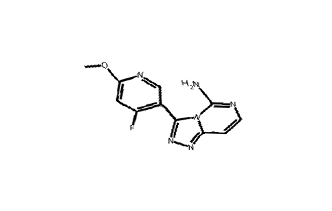 COc1cc(F)c(-c2nnc3ccnc(N)n23)cn1